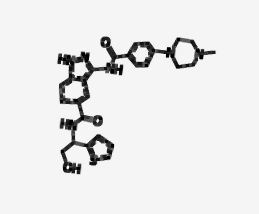 CN1CCN(c2ccc(C(=O)Nc3n[nH]c4ccc(C(=O)NC(CO)c5cccs5)cc34)cc2)CC1